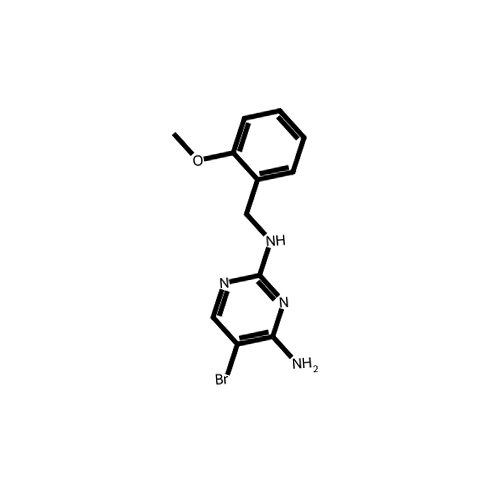 COc1ccccc1CNc1ncc(Br)c(N)n1